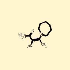 C/C(=C(\C#N)C(N)=S)N1CCCCCC1